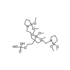 CO[Si]1(OC)CCCN1CCCC(CCCN1CCC[Si]1(OC)OC)(CCOP(=O)(O)O)[Si](OC)(OC)OC